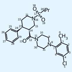 Cc1ccc(Cl)cc1N1CCN(C(=O)[C@@H]2CN(S(=O)(=O)C(C)C)CC[C@@H]2c2ccccc2)CC1